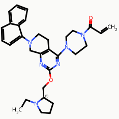 C=CC(=O)N1CCN(c2nc(OC[C@H]3CCCN3CC)nc3c2CCN(c2cccc4ccccc24)C3)CC1